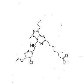 CCCc1nn(C)c2c(NCc3ccc(OC(C)C)c(Cl)c3)nc(CCCCCCC(=O)O)nc12